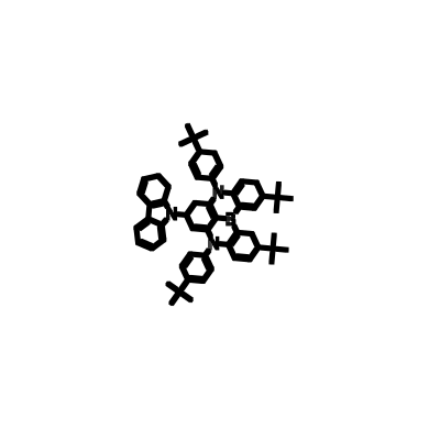 CC(C)(C)c1ccc(N2C3=CC(n4c5c(c6ccccc64)C=CCC5)CC4=C3B(C3=CC(C(C)(C)C)CC=C3N4C3=CCC(C(C)(C)C)C=C3)C3=C2C=CC(C(C)(C)C)C3)cc1